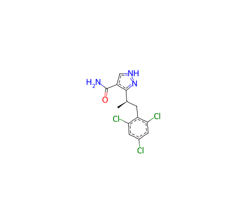 C[C@H](Cc1c(Cl)cc(Cl)cc1Cl)c1n[nH]cc1C(N)=O